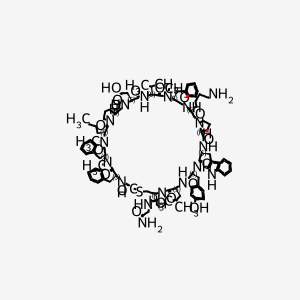 CCCC[C@H]1C(=O)N2CCC[C@@H]2C(=O)N[C@@H](CC(=O)O)C(=O)N[C@@H](C(C)C)C(=O)N(C)[C@@H](Cc2ccccc2)C(=O)N[C@@H](CCCCN)C(=O)N2CCC[C@@H]2C(=O)N[C@@H](Cc2c[nH]c3ccccc23)C(=O)N[C@@H](Cc2ccc(O)cc2)C(=O)N[C@@H](CC(C)C)C(=O)N[C@H](C(=O)NCC(N)=O)CSCC(=O)N[C@@H](Cc2ccccc2)C(=O)N(C)[C@@H](Cc2ccccc2)C(=O)N1C